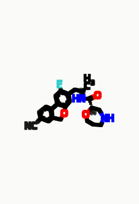 C[C@H](Cc1cc2c(cc1F)-c1ccc(C#N)cc1CO2)NC(=O)[C@@H]1CNCCCO1